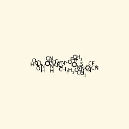 C[C@@H]1CN(CCOc2ccc(N3C(=S)N(c4cnc(C#N)c(C(F)(F)F)c4)C(=O)C3(C)C)cc2C(C)(F)F)C[C@H](C)N1CC(=O)Nc1cc(C#N)cc(NC2CCC(=O)NC2=O)c1